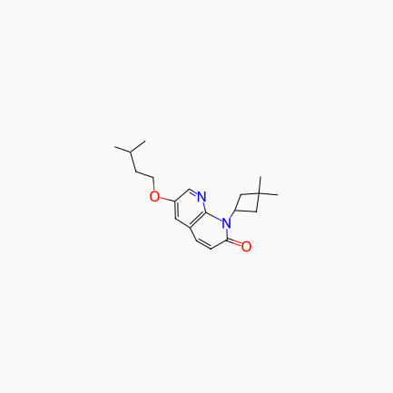 CC(C)CCOc1cnc2c(ccc(=O)n2C2CC(C)(C)C2)c1